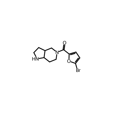 O=C(c1ccc(Br)o1)N1CCC2NCCC2C1